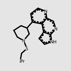 CC(C)CSN1CCCC(c2ccnc3cnc4[nH]ccc4c23)C1